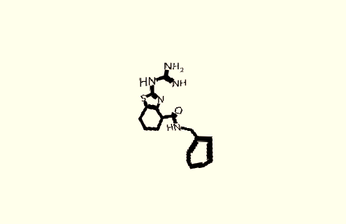 N=C(N)Nc1nc2c(s1)CCCC2C(=O)NCc1ccccc1